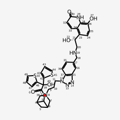 O=C(OC1C2CC1CN(CCCn1nnc3cc(CNC[C@H](O)c4ccc(O)c5[nH]c(=O)ccc45)ccc31)C2)C(O)(c1cccs1)c1cccs1